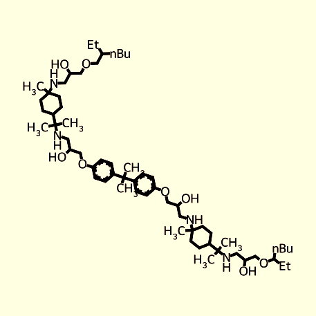 CCCCC(CC)COCC(O)CNC1(C)CCC(C(C)(C)NCC(O)COc2ccc(C(C)(C)c3ccc(OCC(O)CNC4(C)CCC(C(C)(C)NCC(O)COC(CC)CCCC)CC4)cc3)cc2)CC1